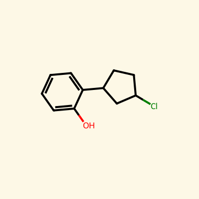 Oc1ccccc1C1CCC(Cl)C1